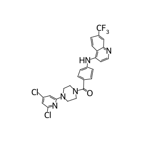 O=C(c1ccc(Nc2ccnc3cc(C(F)(F)F)ccc23)cc1)N1CCN(c2cc(Cl)cc(Cl)n2)CC1